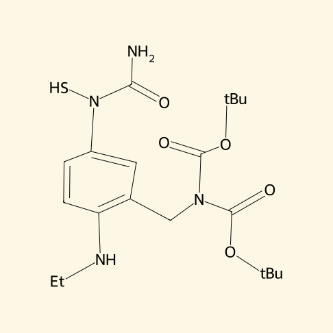 CCNc1ccc(N(S)C(N)=O)cc1CN(C(=O)OC(C)(C)C)C(=O)OC(C)(C)C